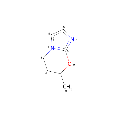 CC1CCn2ccnc2O1